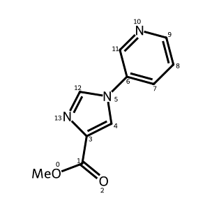 COC(=O)c1cn(-c2cccnc2)cn1